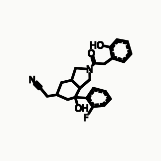 N#CCC1CC2CN(C(=O)Cc3ccccc3O)CC2C(O)(c2ccccc2F)C1